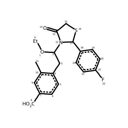 CCOC(Cc1ccc(C(=O)O)cc1C)N1C(=O)CSC1c1ccc(F)cc1